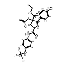 C=C(Cl)CC1(C(=O)OCC)CN(C(=O)Nc2ccc(OC(F)(F)F)cc2)N=C1c1ccc(Cl)cc1